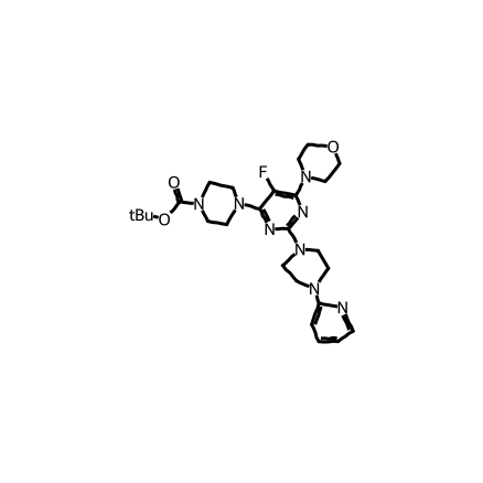 CC(C)(C)OC(=O)N1CCN(c2nc(N3CCN(c4ccccn4)CC3)nc(N3CCOCC3)c2F)CC1